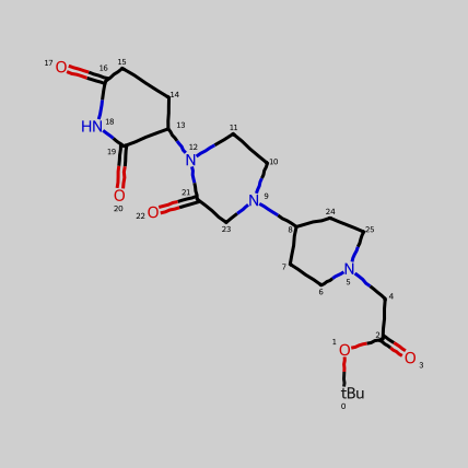 CC(C)(C)OC(=O)CN1CCC(N2CCN(C3CCC(=O)NC3=O)C(=O)C2)CC1